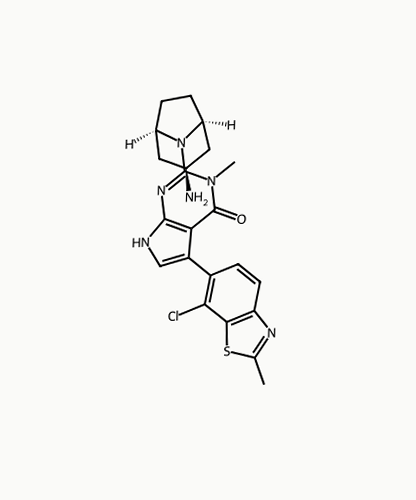 Cc1nc2ccc(-c3c[nH]c4nc(N5[C@@H]6CC[C@H]5C[C@@H](N)C6)n(C)c(=O)c34)c(Cl)c2s1